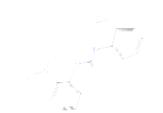 CN(C)c1ccccc1NC(=S)Nc1ccccc1N(C)C